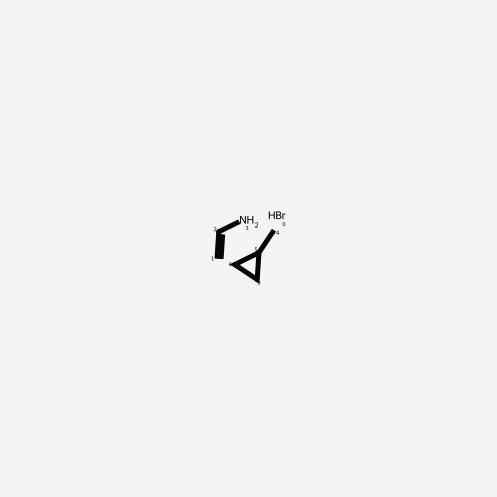 Br.C=CN.CC1CC1